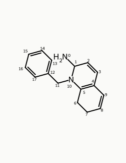 NC1C=CC2=C(CCC=C2)N1Cc1ccccc1